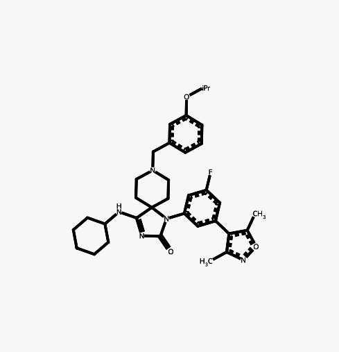 Cc1noc(C)c1-c1cc(F)cc(N2C(=O)N=C(NC3CCCCC3)C23CCN(Cc2cccc(OC(C)C)c2)CC3)c1